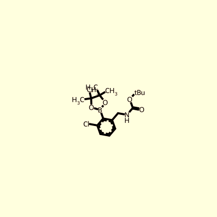 CC(C)(C)OC(=O)NCc1cccc(Cl)c1B1OC(C)(C)C(C)(C)O1